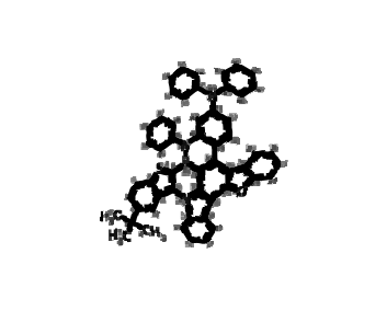 CC(C)(C)c1ccc2sc3c(c2c1)-n1c2ccccc2c2c4oc5ccccc5c4c4c(c21)B3N(c1ccccc1)c1cc(N(c2ccccc2)c2ccccc2)ccc1-4